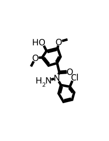 COc1cc(C(=O)N(N)c2ccccc2Cl)cc(OC)c1O